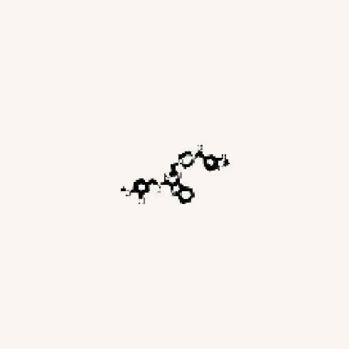 COc1ccc(CNc2nc(CN3CCN(C(=O)c4ccc5c(c4)OCO5)CC3)nc3c2SC2CCCC=C32)cc1Cl